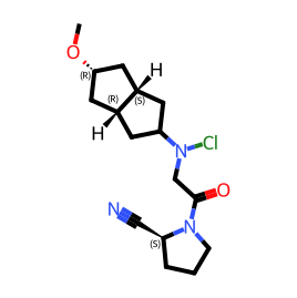 CO[C@H]1C[C@H]2CC(N(Cl)CC(=O)N3CCC[C@H]3C#N)C[C@H]2C1